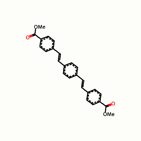 COC(=O)c1ccc(C=Cc2ccc(C=Cc3ccc(C(=O)OC)cc3)cc2)cc1